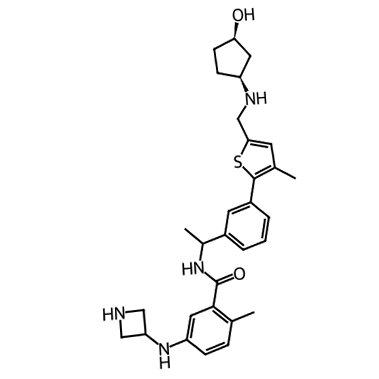 Cc1ccc(NC2CNC2)cc1C(=O)NC(C)c1cccc(-c2sc(CN[C@H]3CC[C@@H](O)C3)cc2C)c1